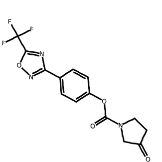 O=C1CCN(C(=O)Oc2ccc(-c3noc(C(F)(F)F)n3)cc2)C1